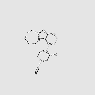 Cc1cc(C#N)ccc1-c1cccc2cc3n(c12)CCNCC3